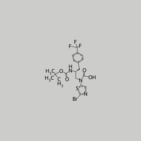 CC(C)(C)OC(=O)N[C@@H](Cc1ccc(C(F)(F)F)cc1)CN(C(=O)O)c1cnc(Br)s1